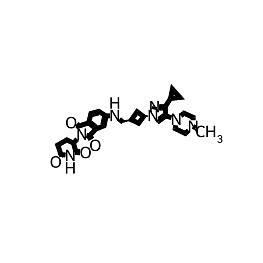 CN1CCN(c2cn([C@H]3C[C@H](CNc4ccc5c(c4)C(=O)N(C4CCC(=O)NC4=O)C5=O)C3)nc2C2CC2)CC1